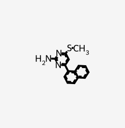 CSc1cc(-c2cccc3ccccc23)nc(N)n1